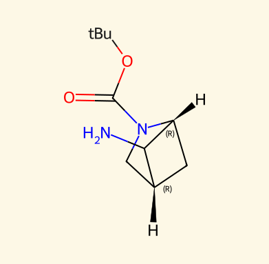 CC(C)(C)OC(=O)N1C[C@H]2C[C@@H]1C2N